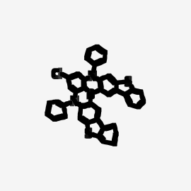 Clc1cc2c3c(c1)N(c1ccccc1)c1cc4sc5ccccc5c4cc1B3c1cc3c(cc1N2c1ccccc1)sc1ccccc13